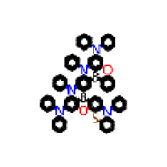 c1ccc(N(c2ccccc2)c2cc3c4c(c2)N(c2ccccc2)c2cc5c(cc2B4c2ccccc2O3)B2c3ccc4c(c3Oc3cc(N(c6ccccc6)c6ccccc6)cc(c32)N5c2ccccc2)Sc2ccccc2N4c2ccccc2)cc1